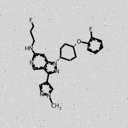 Cn1cc(-c2nn([C@H]3CC[C@@H](Oc4ccccc4F)CC3)c3cc(NCCCF)ncc23)cn1